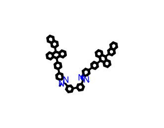 Cn1c(-c2cccc(-c3cccc(-c4nc5ccc(-c6ccc(-c7c8ccccc8c(-c8ccc9ccccc9c8)c8ccccc78)cc6)cc5n4C)c3)c2)nc2cc(-c3ccc(-c4c5ccccc5c(-c5ccc6ccccc6c5)c5ccccc45)cc3)ccc21